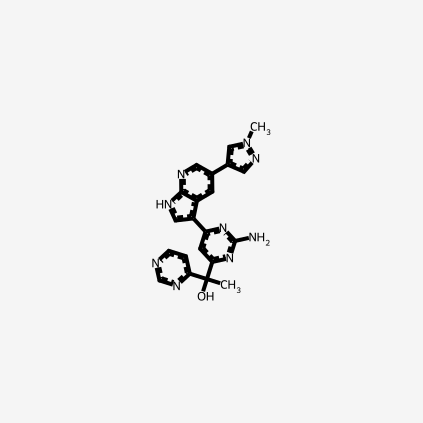 Cn1cc(-c2cnc3[nH]cc(-c4cc(C(C)(O)c5ccncn5)nc(N)n4)c3c2)cn1